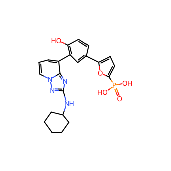 O=P(O)(O)c1ccc(-c2ccc(O)c(-c3cccn4nc(NC5CCCCC5)nc34)c2)o1